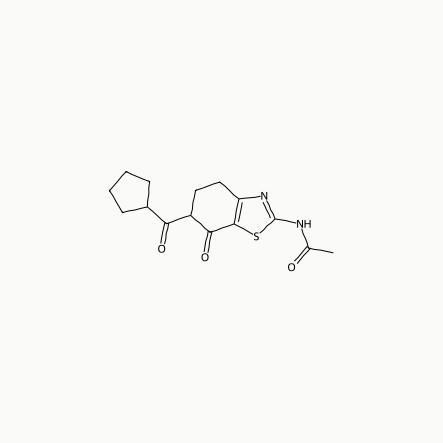 CC(=O)Nc1nc2c(s1)C(=O)C(C(=O)C1CCCC1)CC2